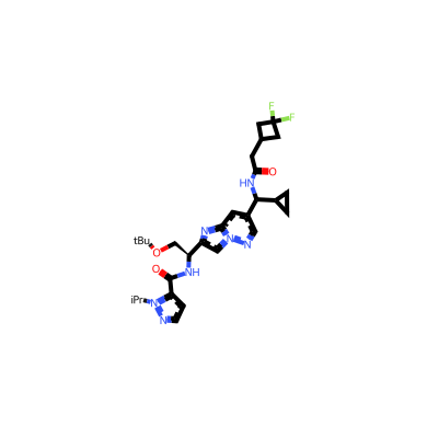 CC(C)n1nccc1C(=O)N[C@@H](COC(C)(C)C)c1cn2ncc(C(NC(=O)CC3CC(F)(F)C3)C3CC3)cc2n1